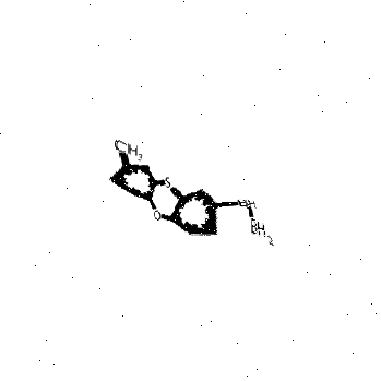 BBc1ccc2c(c1)Sc1cc(C)ccc1O2